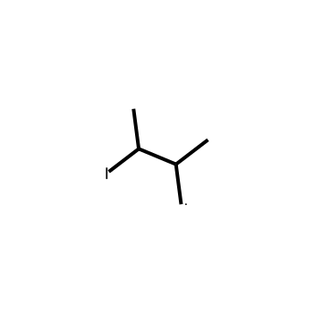 [CH2]C(C)C(C)I